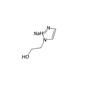 OCCn1ccnc1.[NaH]